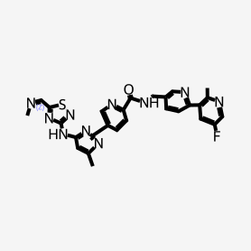 C/N=C\c1nc(Nc2cc(C)nc(-c3ccc(C(=O)NCc4ccc(-c5cc(F)cnc5C)nc4)nc3)n2)ns1